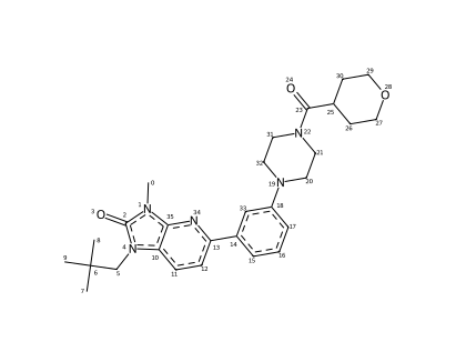 Cn1c(=O)n(CC(C)(C)C)c2ccc(-c3cccc(N4CCN(C(=O)C5CCOCC5)CC4)c3)nc21